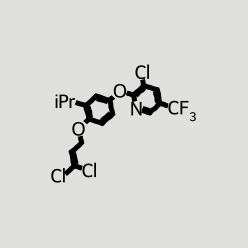 CC(C)c1cc(Oc2ncc(C(F)(F)F)cc2Cl)ccc1OCC=C(Cl)Cl